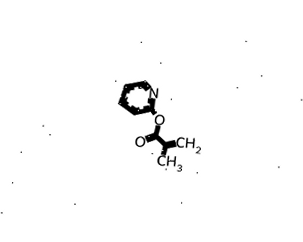 C=C(C)C(=O)Oc1ccccn1